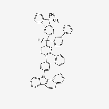 CC1(C)c2ccccc2-c2cc(C(C)(c3cccc(-c4ccccc4)c3)c3ccc(-c4ccc(-n5c6ccccc6c6ccc7ccccc7c65)cc4)c(-c4ccccc4)c3)ccc21